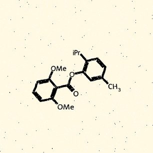 COc1cccc(OC)c1C(=O)Oc1cc(C)ccc1C(C)C